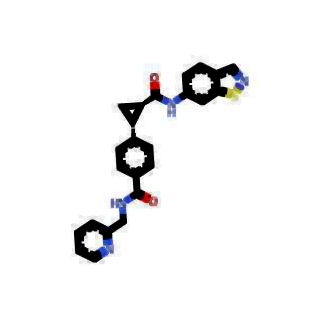 O=C(NCc1ccccn1)c1ccc([C@@H]2C[C@H]2C(=O)Nc2ccc3cnsc3c2)cc1